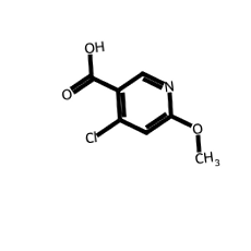 COc1cc(Cl)c(C(=O)O)cn1